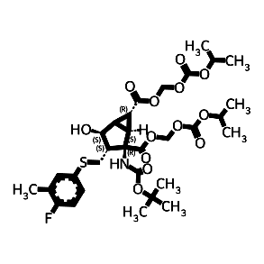 Cc1cc(SC[C@@H]2[C@@H](O)C3[C@H](C(=O)OCOC(=O)OC(C)C)[C@H]3[C@]2(NC(=O)OC(C)(C)C)C(=O)OCOC(=O)OC(C)C)ccc1F